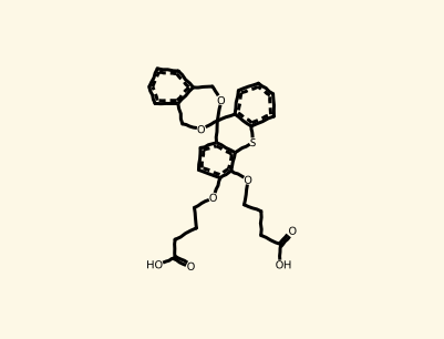 O=C(O)CCCOc1ccc2c(c1OCCCC(=O)O)Sc1ccccc1C21OCc2ccccc2CO1